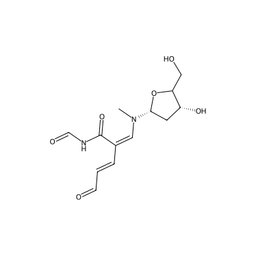 CN(/C=C(/C=C/C=O)C(=O)NC=O)[C@H]1C[C@@H](O)C(CO)O1